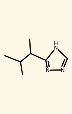 CC(C)C(C)c1nnc[nH]1